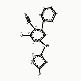 Cc1cc(Nc2cc(-c3ccccc3)c(C#N)c(Cl)n2)n[nH]1